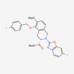 COC(=O)[C@@H]1Cc2c(ccc(OC)c2OCc2ccc(F)cc2)CN1c1nc2ccc(F)cc2o1